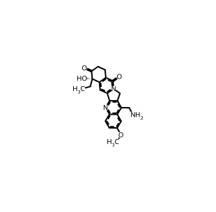 CC[C@@]1(O)C(=O)CCc2c1cc1n(c2=O)Cc2c-1nc1ccc(OC)cc1c2CN